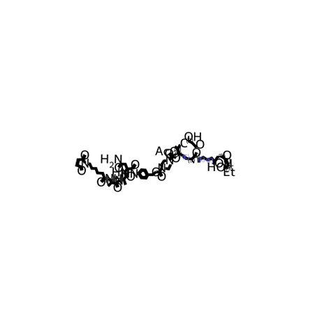 CC[C@H](O)[C@@H](C)[C@H]1O[C@@H]1CC(C)(O)/C=C/C=C(\C)[C@H]1OC(=O)C[C@H](O)CC[C@@](C)(OC(C)=O)[C@@H](OC(=O)N2CCN(C(=O)OCc3ccc(NC(=O)C(CC(N)=O)NC(=O)C(C)NC(=O)C(C)NC(=O)CCCCCN4C(=O)C=CC4=O)cc3)CC2)/C=C/[C@@H]1C